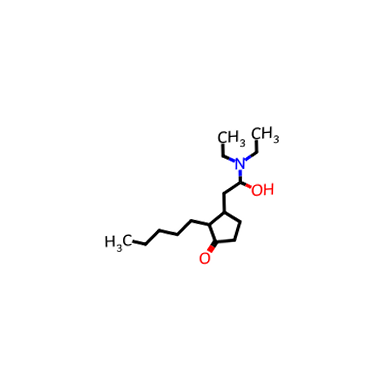 CCCCCC1C(=O)CCC1CC(O)N(CC)CC